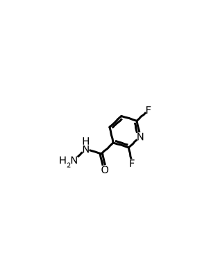 NNC(=O)c1ccc(F)nc1F